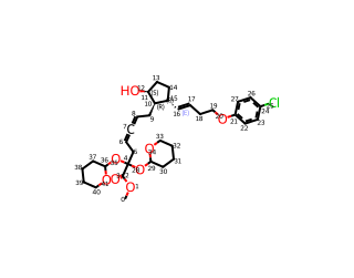 COC(=O)C(CC=C=CC[C@H]1[C@@H](O)CC[C@@H]1/C=C/CCOc1ccc(Cl)cc1)(OC1CCCCO1)OC1CCCCO1